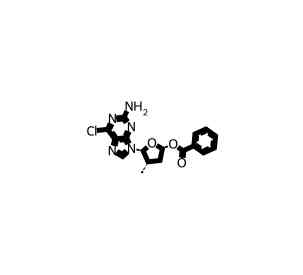 C[C@H]1C[C@@H](OC(=O)c2ccccc2)O[C@H]1n1cnc2c(Cl)nc(N)nc21